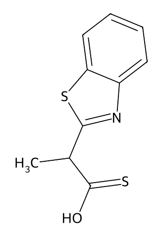 CC(C(O)=S)c1nc2ccccc2s1